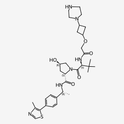 Cc1ncsc1-c1ccc([C@@H](C)NC(=O)[C@@H]2C[C@@H](O)CN2C(=O)[C@@H](NC(=O)COC2CC(N3CCNCC3)C2)C(C)(C)C)cc1